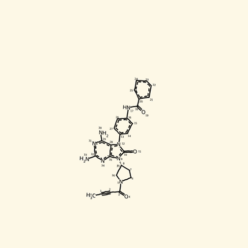 CC#CC(=O)N1CC[C@@H](n2c(=O)n(-c3ccc(NC(=O)c4ccccc4)cc3)c3c(N)nc(N)nc32)C1